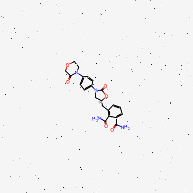 NC(=O)c1cccc(C[C@H]2CN(c3ccc(N4CCOCC4=O)cc3)C(=O)O2)c1C(N)=O